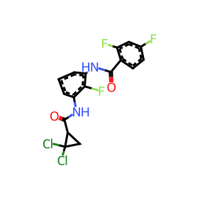 O=C(Nc1cccc(NC(=O)C2CC2(Cl)Cl)c1F)c1ccc(F)cc1F